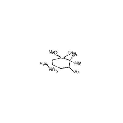 CCCC1(OC)C(NC)CCC[Si]1(OC)OC.N[SiH3]